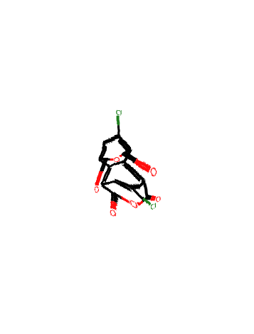 O=c1oc(=O)c2c(Cl)cc1c1c3cc(Cl)c(c(=O)oc3=O)c21